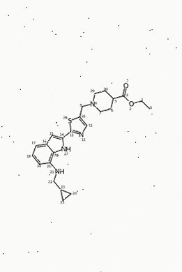 CCOC(=O)C1CCN(Cc2cnc(-c3cc4cccc(NCC5CC5)c4[nH]3)s2)CC1